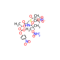 CC(OC(=O)Oc1ccc([N+](=O)[O-])cc1)OC(=O)C(CSC(=O)C(C)(C)CO[N+](=O)[O-])NC(=O)C(C)(C)CO[NH2+][O-]